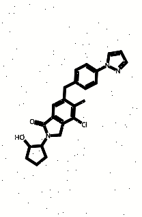 Cc1c(Cc2ccc(-n3cccn3)cc2)cc2c(c1Cl)CN(C1CCCC1O)C2=O